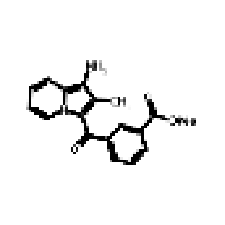 COC(=O)c1cccc(C(=O)c2c(C)c(N)c3ccccn23)c1